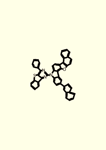 c1ccc(-c2nc(-n3c4ccc(-c5ccc6ccccc6c5)cc4c4c5oc6ccc7ccccc7c6c5ccc43)nc3c2sc2ccccc23)cc1